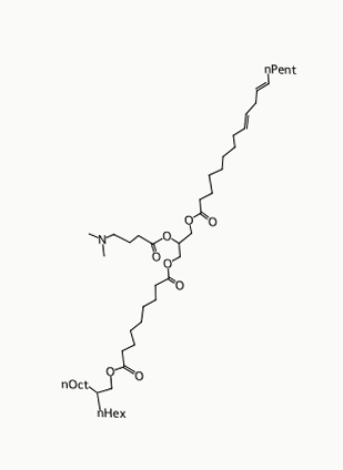 CCCCC/C=C/C/C=C/CCCCCCCC(=O)OCC(COC(=O)CCCCCCCC(=O)OCC(CCCCCC)CCCCCCCC)OC(=O)CCCN(C)C